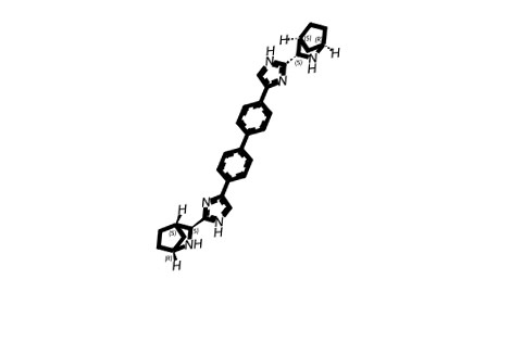 c1cc(-c2c[nH]c([C@H]3N[C@@H]4CC[C@H]3C4)n2)ccc1-c1ccc(-c2c[nH]c([C@H]3N[C@@H]4CC[C@H]3C4)n2)cc1